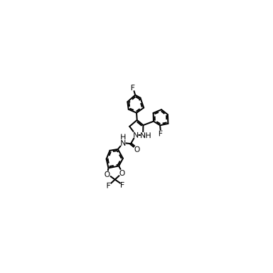 O=C(Nc1ccc2c(c1)OC(F)(F)O2)N1CC(c2ccc(F)cc2)=C(c2ccccc2F)N1